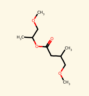 COCC(C)CC(=O)OC(C)COC